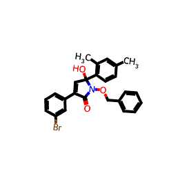 Cc1ccc(C2(O)C=C(c3cccc(Br)c3)C(=O)N2OCc2ccccc2)c(C)c1